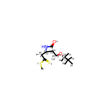 CSC(=S)[C@H](C)[C@H]1NC(=O)[C@@H]1[C@@H](C)O[Si](C)(C)C(C)(C)C